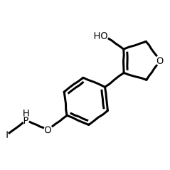 OC1=C(c2ccc(OPI)cc2)COC1